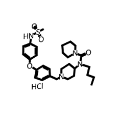 CCCCN(C(=O)N1CCCCC1)C1CCN(Cc2ccc(Oc3ccc(NS(C)(=O)=O)cc3)cc2)CC1.Cl